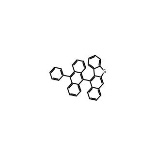 c1ccc(-c2c3ccccc3c(-c3c4ccccc4cc4sc5ccccc5c34)c3ccccc23)cc1